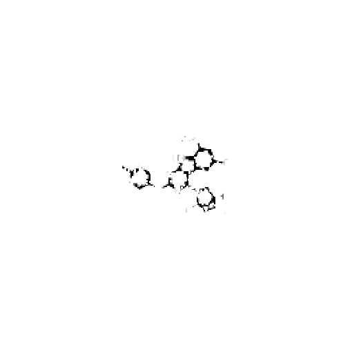 CNc1cc(F)cc2c1[nH]c1nc(Oc3cnc(C)nc3)nc(N3C[C@H]4C[C@@H]3C[C@H]4C)c12